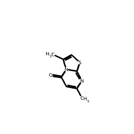 Cc1cc(=O)n2c(C)csc2n1